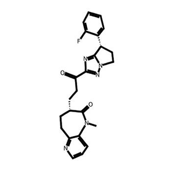 CN1C(=O)[C@@H](CCC(=O)c2nc3n(n2)CC[C@H]3c2ccccc2F)CCc2ncccc21